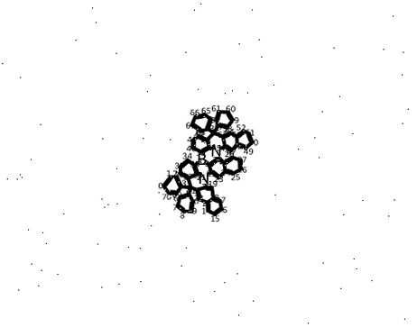 c1ccc(C2(c3ccccc3)c3cc4ccccc4cc3N3c4cc5ccccc5c5c4B(c4cccc2c43)c2cccc3c2N5c2cc4ccccc4cc2C3(c2ccccc2)c2ccccc2)cc1